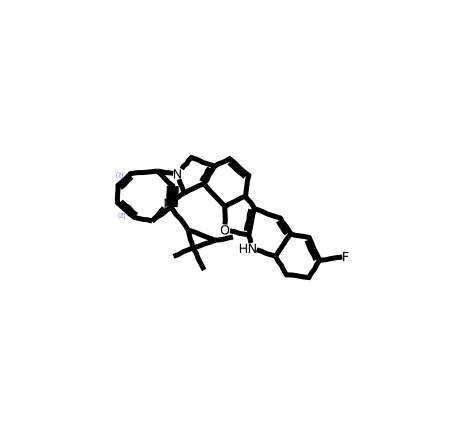 CC1C(N2C3C#CC(/C=C\C=C/3)N3CC4=C(C5OC6=C(C=C7C=C(F)CCC7N6)C5C=C4)C32)C1(C)C